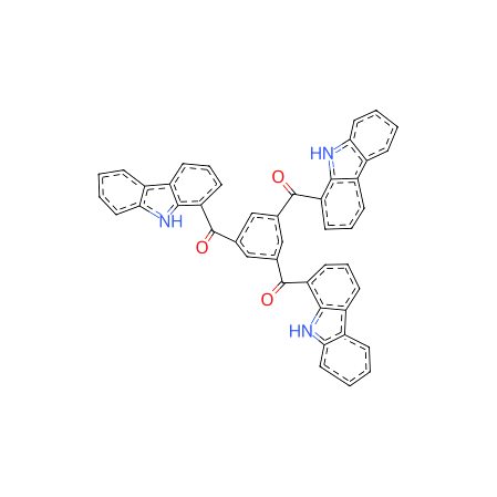 O=C(c1cc(C(=O)c2cccc3c2[nH]c2ccccc23)cc(C(=O)c2cccc3c2[nH]c2ccccc23)c1)c1cccc2c1[nH]c1ccccc12